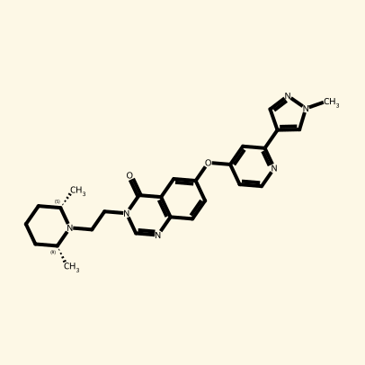 C[C@@H]1CCC[C@H](C)N1CCn1cnc2ccc(Oc3ccnc(-c4cnn(C)c4)c3)cc2c1=O